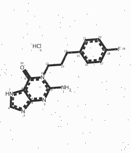 Cl.Nc1nc2nc[nH]c2c(=O)n1CCCc1ccc(F)cc1